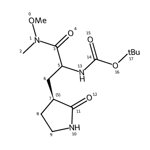 CON(C)C(=O)C(C[C@@H]1CCNC1=O)NC(=O)OC(C)(C)C